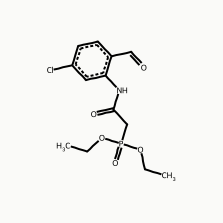 CCOP(=O)(CC(=O)Nc1cc(Cl)ccc1C=O)OCC